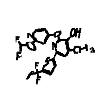 Cc1cc(-c2ccc(C(F)(F)F)s2)nc(Oc2ccnc(OC(F)F)c2)c1O